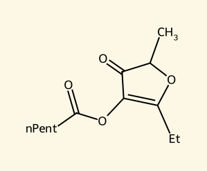 CCCCCC(=O)OC1=C(CC)OC(C)C1=O